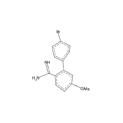 COc1ccc(C(=N)N)c(-c2ccc(Br)cc2)c1